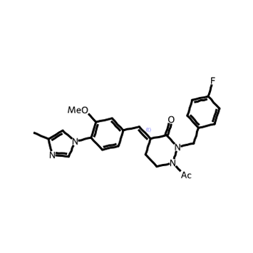 COc1cc(/C=C2\CCN(C(C)=O)N(Cc3ccc(F)cc3)C2=O)ccc1-n1cnc(C)c1